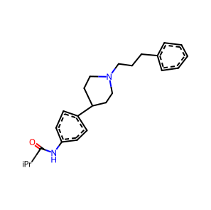 CC(C)C(=O)Nc1ccc(C2CCN(CCCc3ccccc3)CC2)cc1